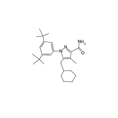 Cc1c(C(N)=O)nn(-c2cc(C(C)(C)C)cc(C(C)(C)C)c2)c1CC1CCCCC1